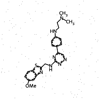 COc1ccc2sc(CNc3nncc(-c4ccc(NCCN(C)C)cc4)n3)nc2c1